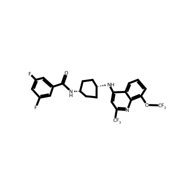 O=C(N[C@H]1CC[C@@H](Nc2cc(C(F)(F)F)nc3c(OC(F)(F)F)cccc23)CC1)c1cc(F)cc(F)c1